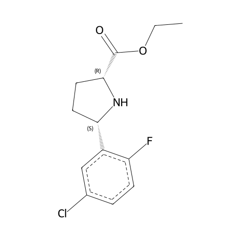 CCOC(=O)[C@H]1CC[C@@H](c2cc(Cl)ccc2F)N1